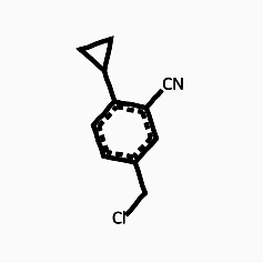 N#Cc1cc(CCl)ccc1C1CC1